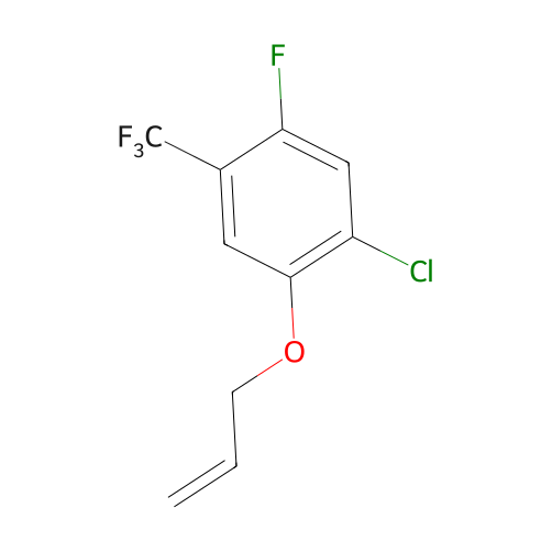 C=CCOc1cc(C(F)(F)F)c(F)cc1Cl